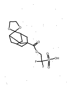 O=C(OCC(F)(F)S(=O)(=O)O)C12CC3CC(C1)C1(OCCO1)C(C3)C2